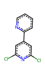 Clc1cc(-c2ccccn2)cc(Cl)n1